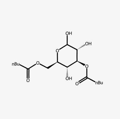 CCCCC(=O)OC[C@H]1OC(O)[C@H](O)[C@@H](OC(=O)CCCC)[C@@H]1O